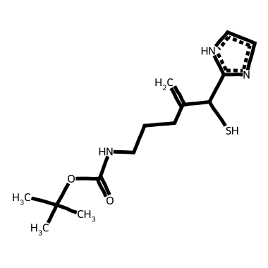 C=C(CCCNC(=O)OC(C)(C)C)C(S)c1ncc[nH]1